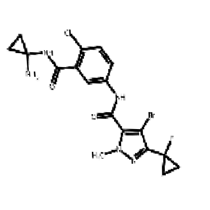 Cn1nc(C2(F)CC2)c(Br)c1C(=O)Nc1ccc(Cl)c(C(=O)NC2(N)CC2)c1